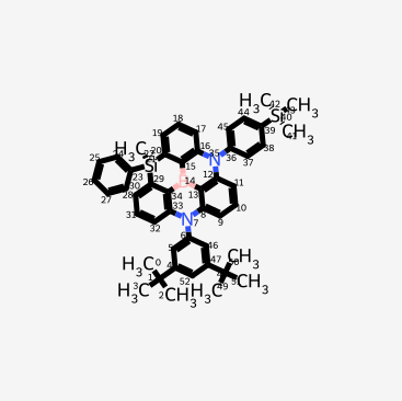 CC(C)(C)c1cc(N2c3cccc4c3B3c5c(cccc5[Si](C)(c5ccccc5)c5cccc2c53)N4c2ccc([Si](C)(C)C)cc2)cc(C(C)(C)C)c1